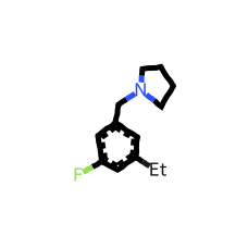 CCc1cc(F)cc(CN2CCCC2)c1